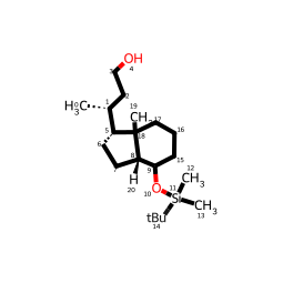 C[C@H](CCO)[C@H]1CC[C@H]2C(O[Si](C)(C)C(C)(C)C)CCCC12C